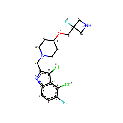 Fc1ccc2[nH]c(CN3CCC(OCC4(F)CNC4)CC3)c(Cl)c2c1Cl